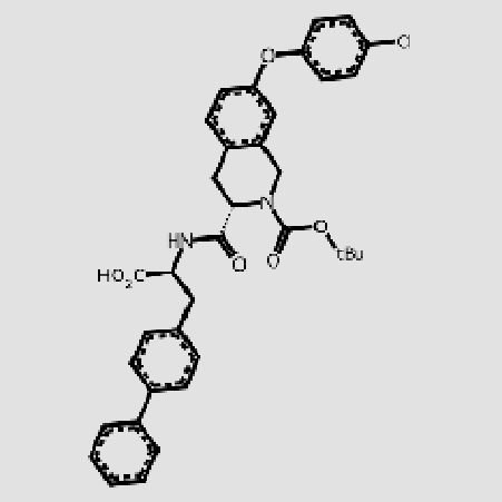 CC(C)(C)OC(=O)N1Cc2cc(Oc3ccc(Cl)cc3)ccc2C[C@H]1C(=O)N[C@@H](Cc1ccc(-c2ccccc2)cc1)C(=O)O